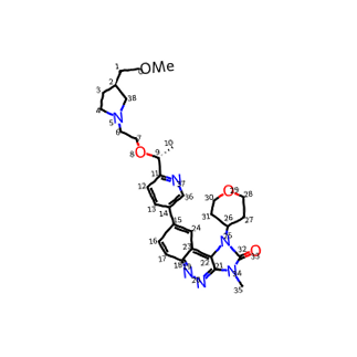 COC[C@@H]1CCN(CCO[C@H](C)c2ccc(-c3ccc4nnc5c(c4c3)n(C3CCOCC3)c(=O)n5C)cn2)C1